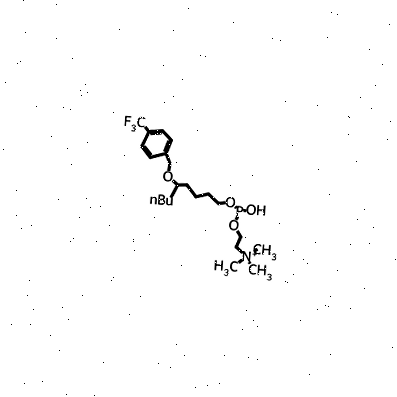 CCCCC(CCCCOP(O)OCC[N+](C)(C)C)OCc1ccc(C(F)(F)F)cc1